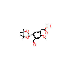 COc1cc(C=O)c(B2OC(C)(C)C(C)(C)O2)cc1CC(=O)O